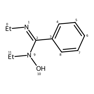 CCN=C(c1ccccc1)N(O)CC